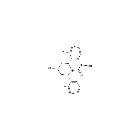 Cc1cccnc1[C@H]1C[C@@H](O)C[C@@H](c2ncccc2C)N1C(=O)OC(C)(C)C